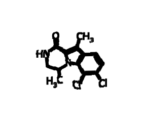 Cc1c2n(c3c(Cl)c(Cl)ccc13)C(C)CNC2=O